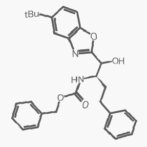 CC(C)(C)c1ccc2oc(C(O)[C@@H](CCc3ccccc3)NC(=O)OCc3ccccc3)nc2c1